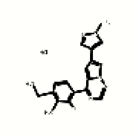 Cc1c(CN)ccc(-c2ncnn3cc(-c4cnn(C)c4)cc23)c1F.Cl